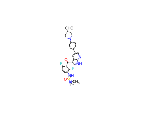 CC(C)N(C)[S+]([O-])Nc1ccc(F)c(C(=O)c2c[nH]c3ncc(-c4ccc(N5CCC(C=O)CC5)cc4)cc23)c1F